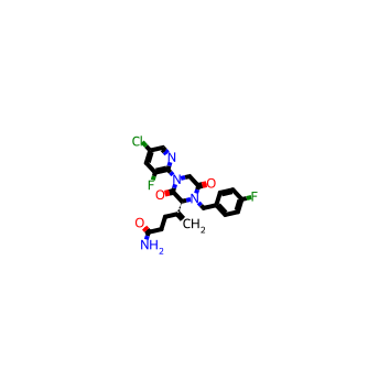 C=C(CCC(N)=O)[C@@H]1C(=O)N(c2ncc(Cl)cc2F)CC(=O)N1Cc1ccc(F)cc1